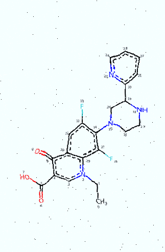 CCn1cc(C(=O)O)c(=O)c2cc(F)c(N3CCNC(c4ccccn4)C3)c(F)c21